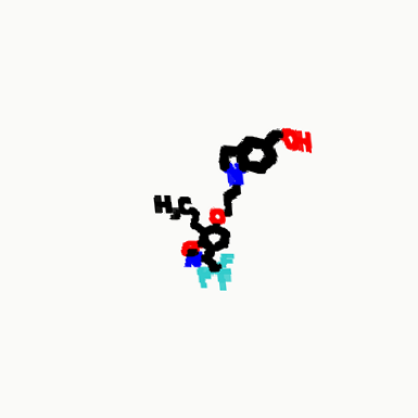 CCCc1c(OCCCn2ccc3cc(CO)ccc32)ccc2c(C(F)(F)F)noc12